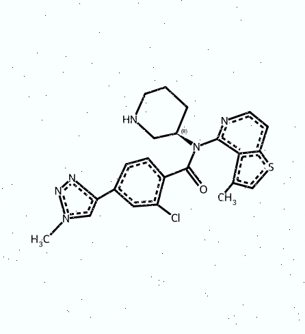 Cc1csc2ccnc(N(C(=O)c3ccc(-c4cn(C)nn4)cc3Cl)[C@@H]3CCCNC3)c12